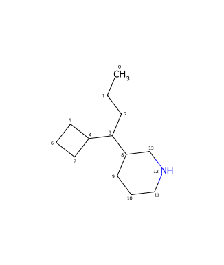 CCCC(C1CCC1)C1CCCNC1